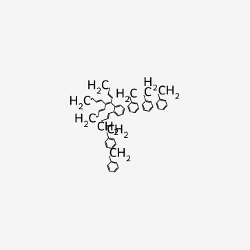 C=CC=CC(C=CC=C)=C(C=CC=C)c1ccccc1C=CC=C.C=Cc1ccccc1.C=Cc1ccccc1.C=Cc1ccccc1.C=Cc1ccccc1.C=Cc1ccccc1